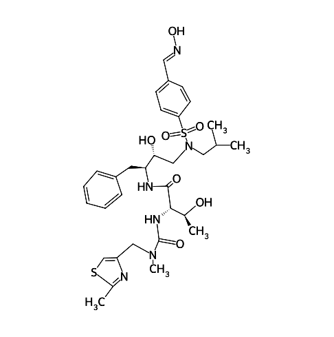 Cc1nc(CN(C)C(=O)N[C@H](C(=O)N[C@@H](Cc2ccccc2)[C@H](O)CN(CC(C)C)S(=O)(=O)c2ccc(/C=N/O)cc2)[C@H](C)O)cs1